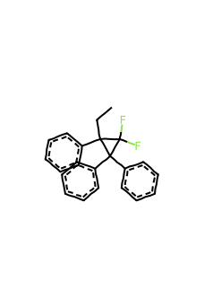 CCC1(c2ccccc2)C(F)(F)C1(c1ccccc1)c1ccccc1